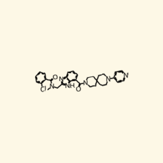 CN(Cc1nc2cccc(C(=O)N3CCC4(CC3)CCN(c3ccncc3)CC4)c2[nH]1)C(=O)c1ccccc1Cl